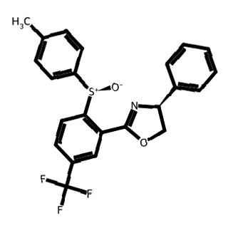 Cc1ccc([S@@+]([O-])c2ccc(C(F)(F)F)cc2C2=N[C@@H](c3ccccc3)CO2)cc1